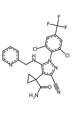 N#Cc1nn(-c2c(Cl)cc(C(F)(F)F)cc2Cl)c(NCc2ccccn2)c1C1(C(N)=O)CC1